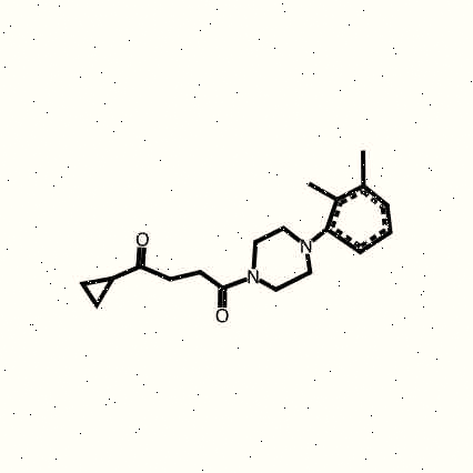 Cc1cccc(N2CCN(C(=O)CCC(=O)C3CC3)CC2)c1C